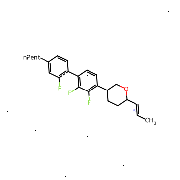 C/C=C/C1CCC(c2ccc(-c3ccc(CCCCC)cc3F)c(F)c2F)CO1